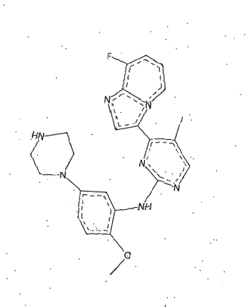 COc1ccc(N2CCNCC2)cc1Nc1ncc(C)c(-c2cnc3c(F)cccn23)n1